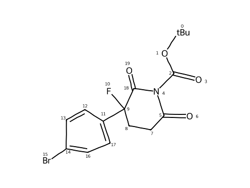 CC(C)(C)OC(=O)N1C(=O)CCC(F)(c2ccc(Br)cc2)C1=O